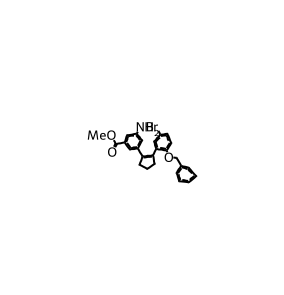 COC(=O)c1cc(N)cc(C2=C(c3cc(Br)ccc3OCc3ccccc3)CCC2)c1